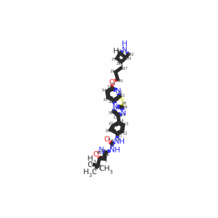 CC(C)(C)c1cc(NC(=O)Nc2ccc(-c3cn4c(n3)sc3nc(OCCC[C@@H]5C[C@H]6NCC56)ccc34)cc2)no1